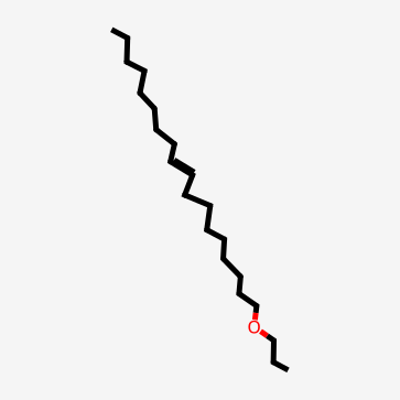 CCCCCCCCC=CCCCCCCCCOCCC